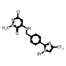 CC(C)n1cc(C(F)(F)F)nc1-c1ccc(CNc2cc(Cl)nn(C)c2=O)cc1